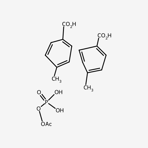 CC(=O)OOP(=O)(O)O.Cc1ccc(C(=O)O)cc1.Cc1ccc(C(=O)O)cc1